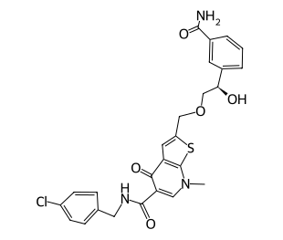 Cn1cc(C(=O)NCc2ccc(Cl)cc2)c(=O)c2cc(COC[C@H](O)c3cccc(C(N)=O)c3)sc21